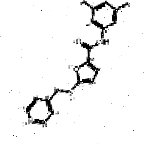 Cc1cc(C)cc(NC(=O)c2ccc(SCc3ccncc3)o2)c1